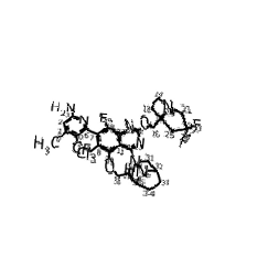 Cc1cc(N)nc(-c2c(Cl)c3c4c(nc(OCC56CCN5CC(F)(F)C6)nc4c2F)N2CC4CCC(N4)C2CO3)c1C(F)(F)F